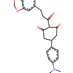 CN(C)c1ccc(C2CC(=O)C(C(=O)CCc3ccc4c(c3)OCO4)C(=O)C2)cc1